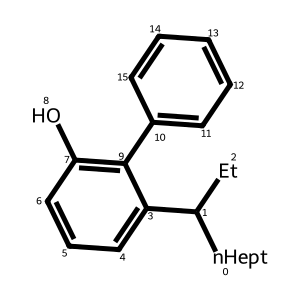 CCCCCCCC(CC)c1cccc(O)c1-c1ccccc1